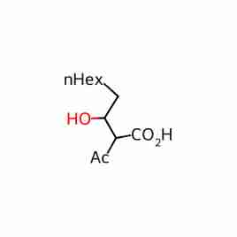 CCCCCCCC(O)C(C(C)=O)C(=O)O